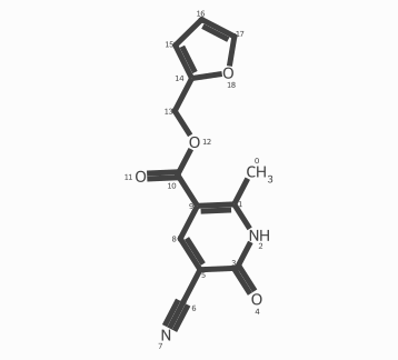 Cc1[nH]c(=O)c(C#N)cc1C(=O)OCc1ccco1